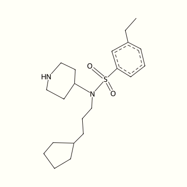 CCc1cccc(S(=O)(=O)N(CCCC2CCCC2)C2CCNCC2)c1